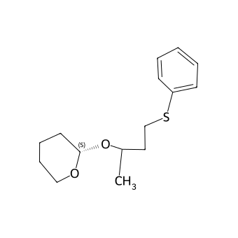 CC(CCSc1ccccc1)O[C@H]1CCCCO1